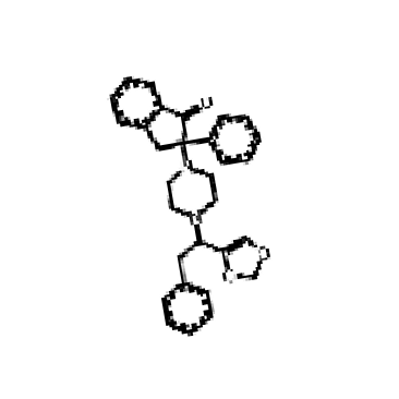 O=C1c2ccccc2CC1(c1ccccc1)N1CCN(C(Cc2ccccc2)C2=COCO2)CC1